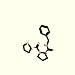 O=C(NCc1ccccc1)[C@H]1CCCN1C(=O)[C@@H]1CCCN1